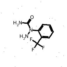 NC(=O)N(N)c1ccccc1C(F)(F)F